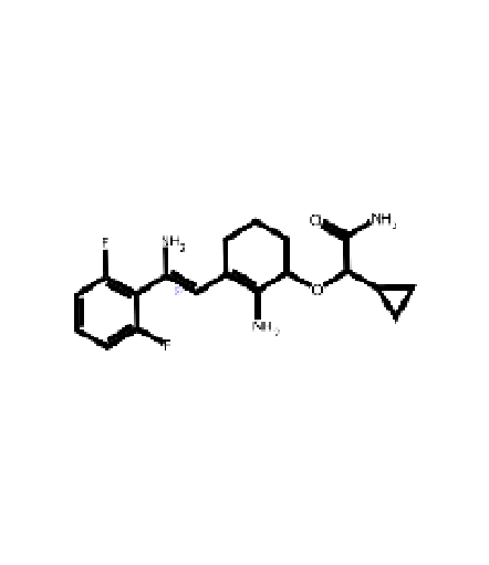 NC(=O)C(OC1CCCC(/C=C(\N)c2c(F)cccc2F)=C1N)C1CC1